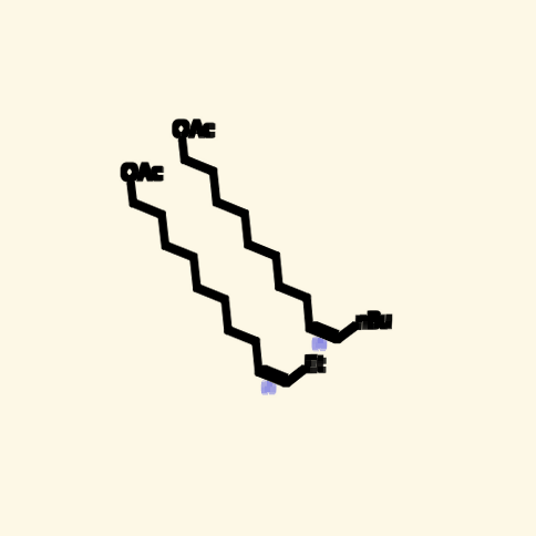 CC/C=C\CCCCCCCCOC(C)=O.CCCC/C=C\CCCCCCCCOC(C)=O